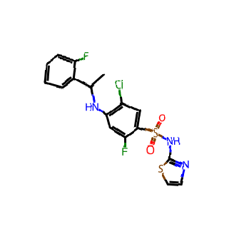 CC(Nc1cc(F)c(S(=O)(=O)Nc2nccs2)cc1Cl)c1ccccc1F